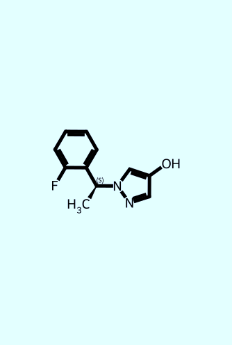 C[C@@H](c1ccccc1F)n1cc(O)cn1